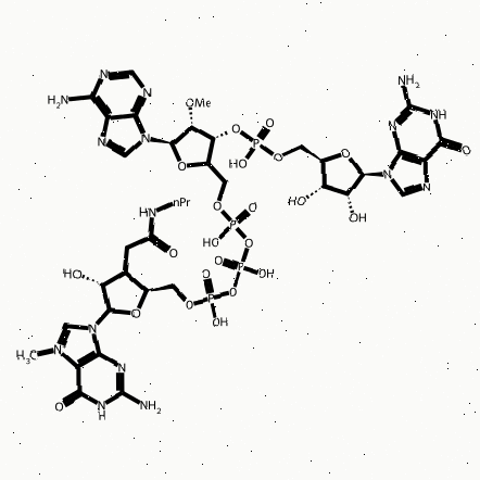 CCCNC(=O)CC1[C@@H](O)C(n2c[n+](C)c3c(=O)[nH]c(N)nc32)O[C@@H]1COP(=O)(O)OP(=O)(O)OP(=O)(O)OCC1O[C@@H](n2cnc3c(N)ncnc32)[C@H](OC)[C@@H]1OP(=O)(O)OC[C@H]1O[C@@H](n2cnc3c(=O)[nH]c(N)nc32)[C@H](O)[C@@H]1O